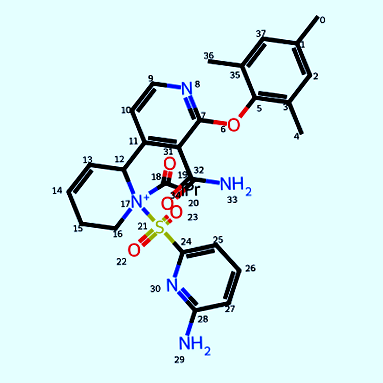 Cc1cc(C)c(Oc2nccc(C3C=CCC[N+]3(C(=O)C(C)C)S(=O)(=O)c3cccc(N)n3)c2C(N)=O)c(C)c1